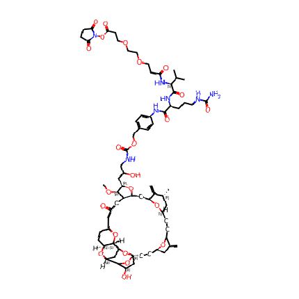 C=C1CC2CC[C@]34C[C@@H](O)C(O3)[C@H]3CC(O4)[C@H]4OC(CC[C@@H]4O3)CC(=O)CC3C(CC4O[C@@H](CCC1O2)C[C@@H](C)C4=C)O[C@H](CC(O)CNC(=O)OCc1ccc(NC(=O)C(CCCNC(N)=O)NC(=O)[C@@H](NC(=O)CCOCCOCCC(=O)ON2C(=O)CCC2=O)C(C)C)cc1)[C@@H]3OC